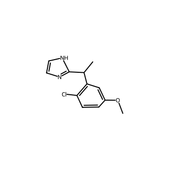 COc1ccc(Cl)c(C(C)c2ncc[nH]2)c1